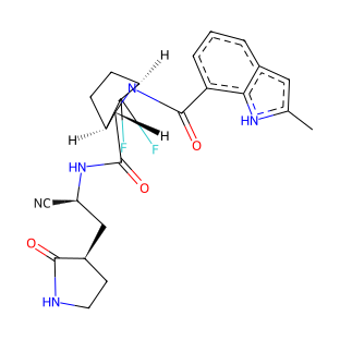 Cc1cc2cccc(C(=O)N3[C@@H]4CC[C@H]([C@H]3C(=O)N[C@H](C#N)C[C@H]3CCNC3=O)C(F)(F)C4)c2[nH]1